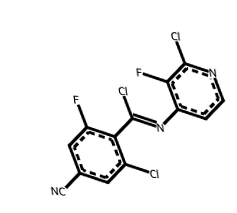 N#Cc1cc(F)c(/C(Cl)=N/c2ccnc(Cl)c2F)c(Cl)c1